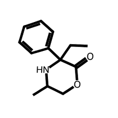 CCC1(c2ccccc2)NC(C)COC1=O